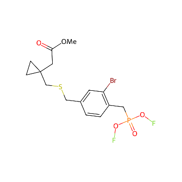 COC(=O)CC1(CSCc2ccc(CP(=O)(OF)OF)c(Br)c2)CC1